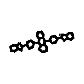 c1ccc2c(c1)NC(c1ccc(-c3c4ccccc4c(-c4ccc(-c5nc6ccccc6s5)cc4)c4ccccc34)cc1)S2